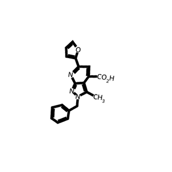 Cc1c2c(C(=O)O)cc(-c3ccco3)nc2nn1Cc1ccccc1